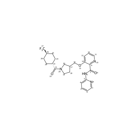 O=C(Nc1ccccn1)c1ncccc1OCC1CCN(C(=O)[C@H]2CC[C@H](C(F)(F)F)CC2)C1